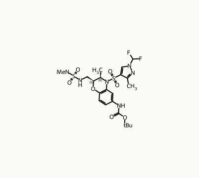 CNS(=O)(=O)NC[C@@H]1Oc2ccc(NC(=O)OC(C)(C)C)cc2N(S(=O)(=O)c2cn(C(F)F)nc2C)[C@@H]1C